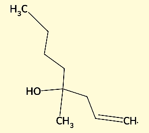 [CH]=CCC(C)(O)CCCC